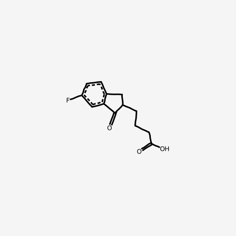 O=C(O)CCCC1Cc2ccc(F)cc2C1=O